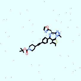 Cc1sc2c(c1C)C(c1ccc(C#CC3CCN(C(=O)OC(C)(C)C)CC3)cc1)=N[C@@H](Cc1ncco1)c1nnc(C)n1-2